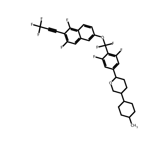 CC1CCC(C2CCC(c3cc(F)c(C(F)(F)Oc4ccc5c(F)c(C#CC(F)(F)F)c(F)cc5c4)c(F)c3)OC2)CC1